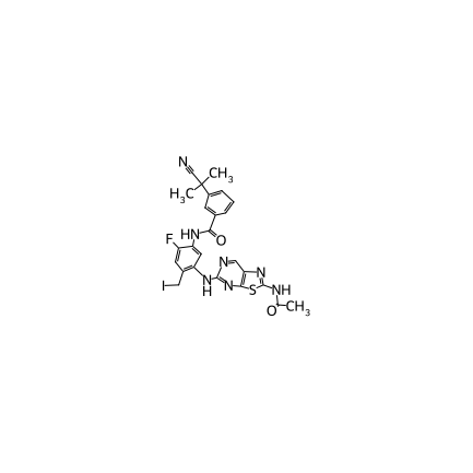 CC(=O)Nc1nc2cnc(Nc3cc(NC(=O)c4cccc(C(C)(C)C#N)c4)c(F)cc3CI)nc2s1